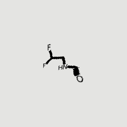 O=[C]NCC(F)F